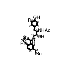 CC(=O)NC(Cc1ccc(O)c(F)c1)C(O)CNC1CS(=O)(=O)Nc2ccc(CC(C)(C)C)cc21